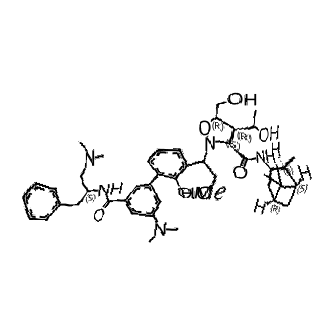 COc1c(-c2cc(C(=O)N[C@@H](Cc3ccccc3)CN(C)C)cc(N(C)C)c2)cccc1C(CO)N1O[C@@H](CO)[C@@H](C(C)O)[C@H]1C(=O)NC1C[C@H]2C[C@@H]([C@@H]1C)C2(C)C